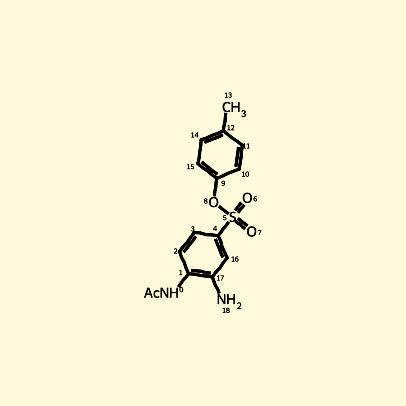 CC(=O)Nc1ccc(S(=O)(=O)Oc2ccc(C)cc2)cc1N